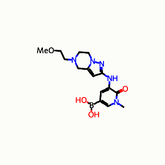 COCCN1CCn2nc(Nc3cc(B(O)O)cn(C)c3=O)cc2C1